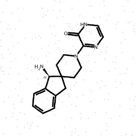 N[C@@H]1c2ccccc2CC12CCN(c1nc[c][nH]c1=O)CC2